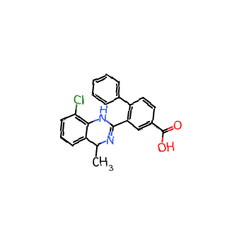 CC1N=C(c2cc(C(=O)O)ccc2-c2ccccc2)Nc2c(Cl)cccc21